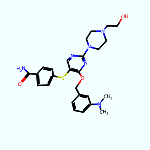 CN(C)c1cccc(COc2nc(N3CCN(CCO)CC3)ncc2Sc2ccc(C(N)=O)cc2)c1